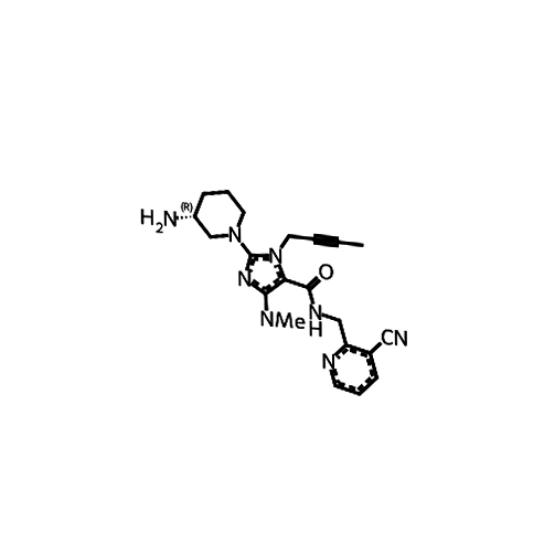 CC#CCn1c(N2CCC[C@@H](N)C2)nc(NC)c1C(=O)NCc1ncccc1C#N